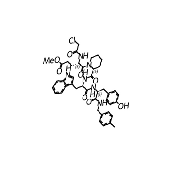 COC(=O)CC[C@H](NC(=O)CCl)C(=O)N1CCCC[C@H]1C(=O)NC(Cc1c[nH]c2ccccc12)C(=O)N[C@@H](Cc1ccc(O)cc1)C(=O)NCc1ccc(C)cc1